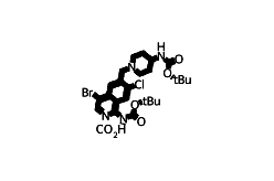 CC(C)(C)OC(=O)NC1CCN(Cc2cc3c(Br)cnc(N(C(=O)O)C(=O)OC(C)(C)C)c3cc2Cl)CC1